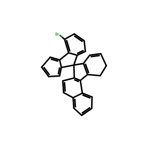 Brc1cccc2c1-c1ccccc1C21C2=C(CCC=C2)c2c1ccc1ccccc21